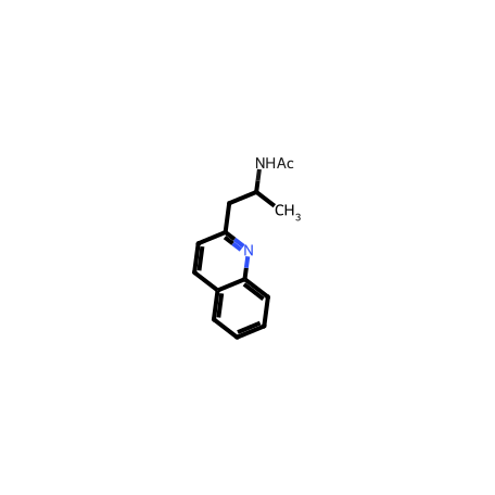 CC(=O)NC(C)Cc1ccc2ccccc2n1